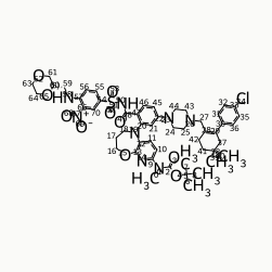 CN(C(=O)OC(C)(C)C)c1ccc2c(n1)OCCCN2c1cc(N2CCN(CC3=C(c4ccc(Cl)cc4)CC(C)(C)CC3)CC2)ccc1C(=O)NS(=O)(=O)c1ccc(NC[C@H]2COCCO2)c([N+](=O)[O-])c1